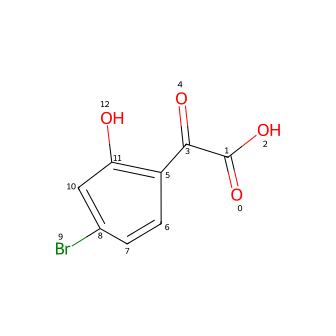 O=C(O)C(=O)c1ccc(Br)cc1O